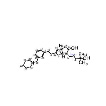 CCCC[C@](C)(O)C/C=C/[C@@H]1[C@H]2CC(CCc3cccc(CN4CCCCC4)c3)=C[C@H]2C[C@H]1O